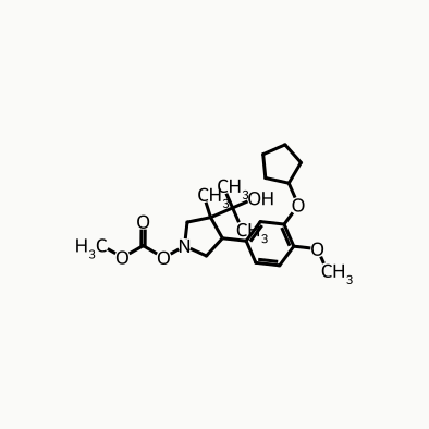 COC(=O)ON1CC(c2ccc(OC)c(OC3CCCC3)c2)C(C)(C(C)(C)O)C1